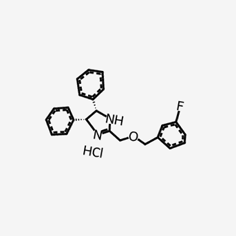 Cl.Fc1cccc(COCC2=N[C@H](c3ccccc3)[C@H](c3ccccc3)N2)c1